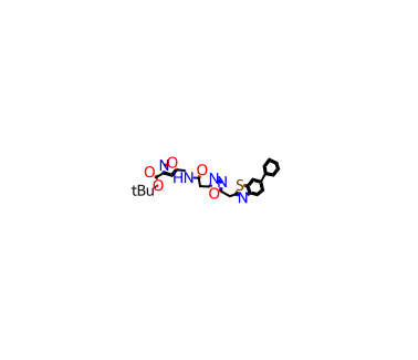 CC(C)(C)OC(=O)c1cc(CNC(=O)Cc2nnc(Cc3nc4ccc(-c5ccccc5)cc4s3)o2)on1